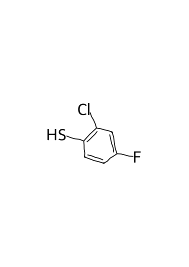 Fc1ccc(S)c(Cl)c1